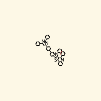 c1ccc(-c2cc(-c3ccc(-c4ccc5c6sc7c8ccccc8nc(-c8ccccc8)c7c6n(-c6ccccc6)c5c4)cc3)nc(-c3ccccc3)n2)cc1